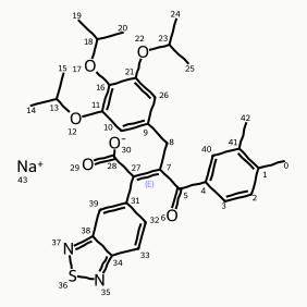 Cc1ccc(C(=O)/C(Cc2cc(OC(C)C)c(OC(C)C)c(OC(C)C)c2)=C(/C(=O)[O-])c2ccc3nsnc3c2)cc1C.[Na+]